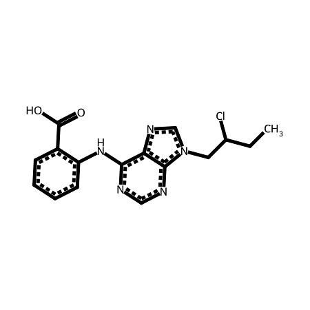 CCC(Cl)Cn1cnc2c(Nc3ccccc3C(=O)O)ncnc21